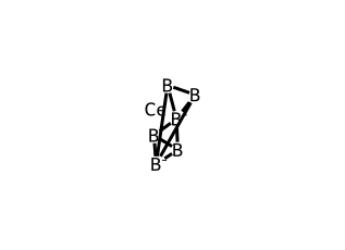 B12B3[B-]14B1B4[B-]231.[Ce]